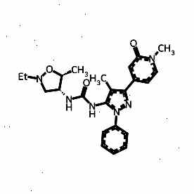 CCN1C[C@@H](NC(=O)Nc2c(C)c(-c3ccn(C)c(=O)c3)nn2-c2ccccc2)[C@H](C)O1